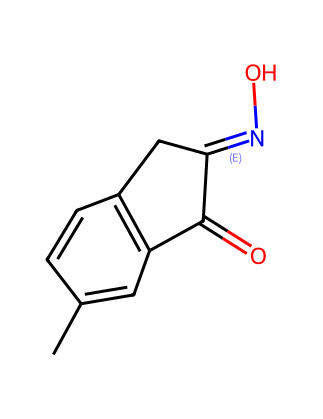 Cc1ccc2c(c1)C(=O)/C(=N/O)C2